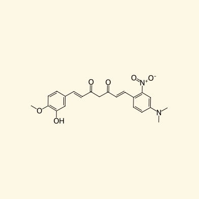 COc1ccc(/C=C/C(=O)CC(=O)/C=C/c2ccc(N(C)C)cc2[N+](=O)[O-])cc1O